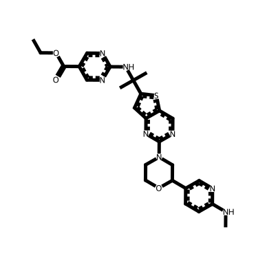 CCOC(=O)c1cnc(NC(C)(C)c2cc3nc(N4CCOC(c5ccc(NC)nc5)C4)ncc3s2)nc1